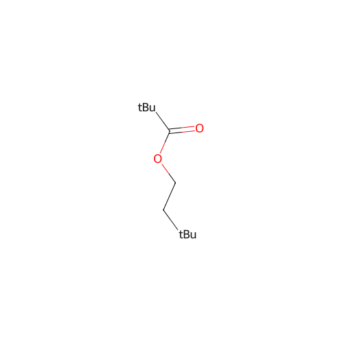 CC(C)(C)CCOC(=O)C(C)(C)C